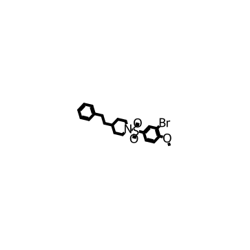 COc1ccc(S(=O)(=O)N2CCC(CCc3ccccc3)CC2)cc1Br